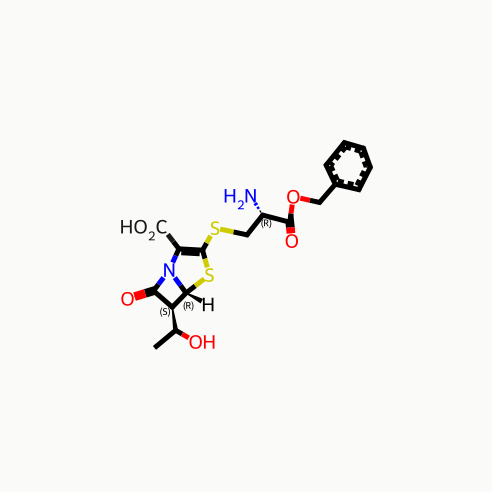 CC(O)[C@H]1C(=O)N2C(C(=O)O)=C(SC[C@H](N)C(=O)OCc3ccccc3)S[C@H]12